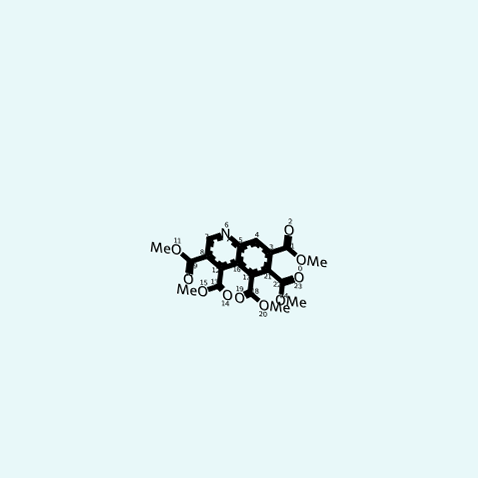 COC(=O)c1cc2ncc(C(=O)OC)c(C(=O)OC)c2c(C(=O)OC)c1C(=O)OC